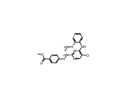 CNSc1ccccc1Nc1nc(NSc2ccc(C(=O)OC)cc2)ncc1Cl